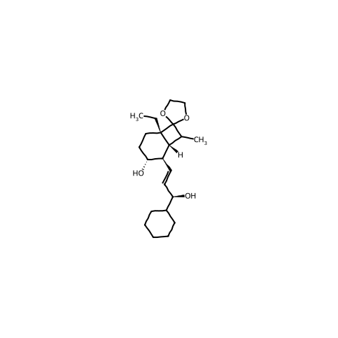 CC[C@]12CC[C@@H](O)[C@H](/C=C/[C@@H](O)C3CCCCC3)[C@H]1C(C)C21OCCO1